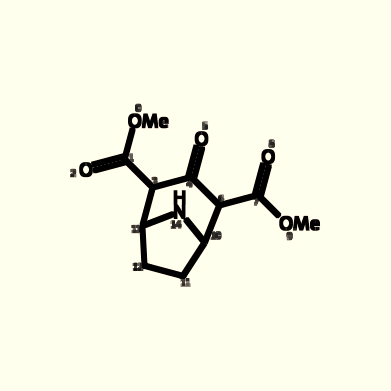 COC(=O)C1C(=O)C(C(=O)OC)C2CCC1N2